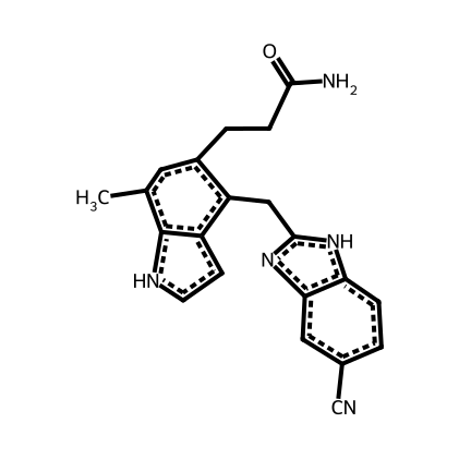 Cc1cc(CCC(N)=O)c(Cc2nc3cc(C#N)ccc3[nH]2)c2cc[nH]c12